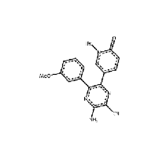 COc1cccc(-c2nc(N)c(C#N)nc2-c2ccc(=O)n(C(C)C)c2)c1